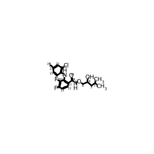 CC(C)CC(O)CONC(=O)c1ccc(F)c(F)c1Nc1ccc(I)cc1Cl